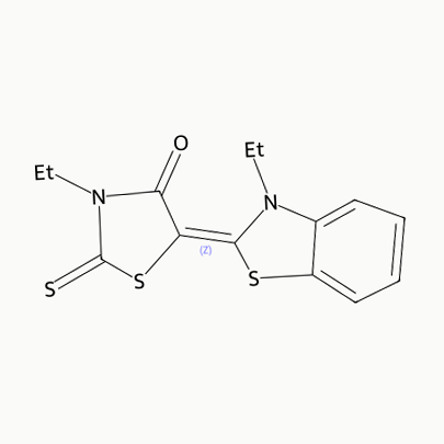 CCN1C(=O)/C(=C2/Sc3ccccc3N2CC)SC1=S